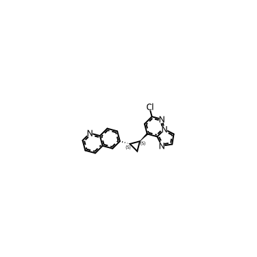 Clc1cc([C@H]2C[C@@H]2c2ccc3ncccc3c2)c2nccn2n1